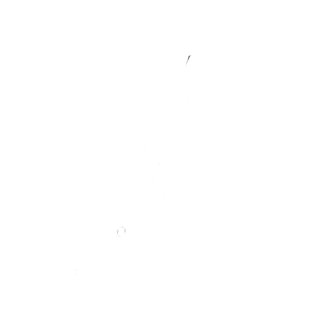 C/C=C/CCOCc1ccc(C2CCC([C@H]3CC[C@H](C/C=C/CC)CC3)CC2)cc1